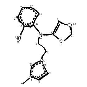 Cn1cc[n+](CCN(C2=COCO2)c2ccccc2O)c1